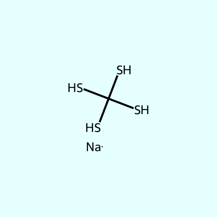 SC(S)(S)S.[Na]